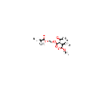 C=C(C)C(=O)OCCOC(=O)C(C(=C)C(=O)OC)C(C)=O